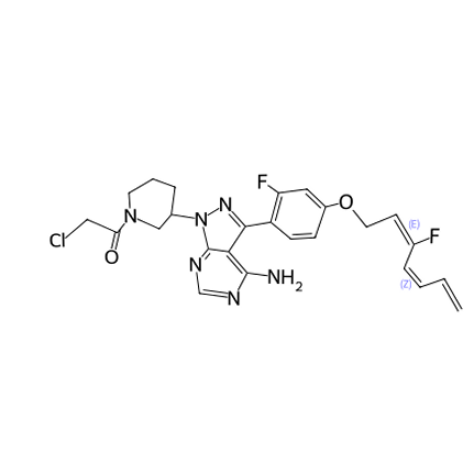 C=C/C=C\C(F)=C/COc1ccc(-c2nn(C3CCCN(C(=O)CCl)C3)c3ncnc(N)c23)c(F)c1